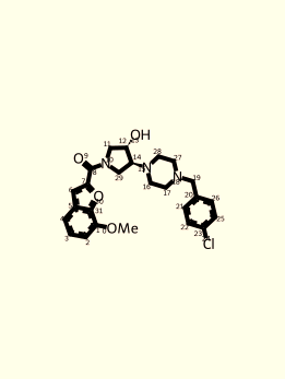 COc1cccc2cc(C(=O)N3C[C@H](O)[C@@H](N4CCN(Cc5ccc(Cl)cc5)CC4)C3)oc12